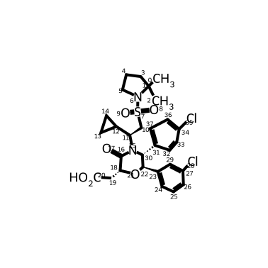 CC1(C)CCCN1S(=O)(=O)C[C@H](C1CC1)N1C(=O)[C@@H](CC(=O)O)O[C@H](c2cccc(Cl)c2)[C@H]1c1ccc(Cl)cc1